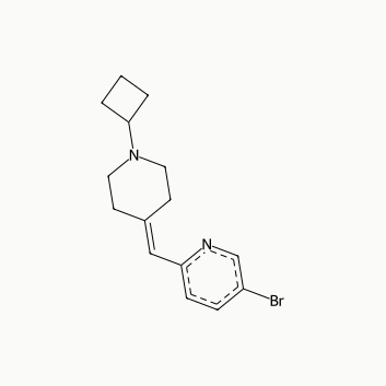 Brc1ccc(C=C2CCN(C3CCC3)CC2)nc1